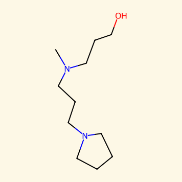 CN(CCCO)CCCN1CCCC1